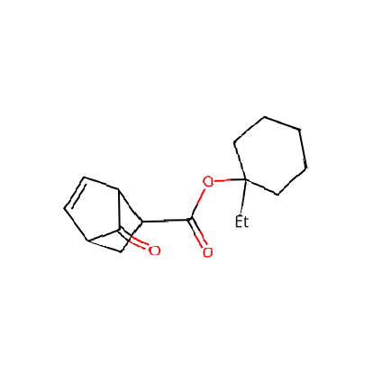 CCC1(OC(=O)C2CC3C=CC2C3=O)CCCCC1